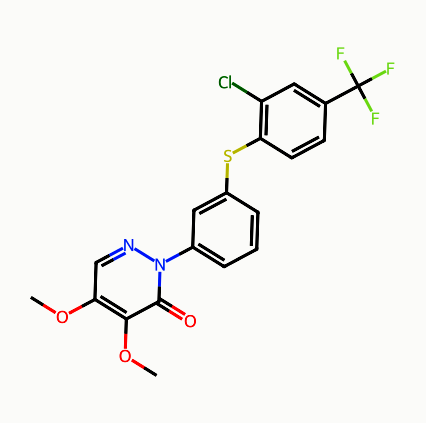 COc1cnn(-c2cccc(Sc3ccc(C(F)(F)F)cc3Cl)c2)c(=O)c1OC